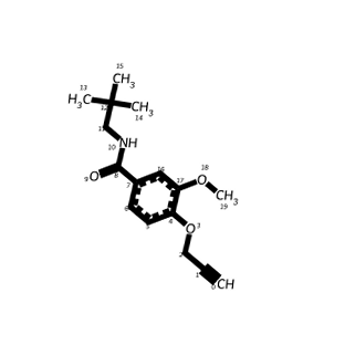 C#CCOc1ccc(C(=O)NCC(C)(C)C)cc1OC